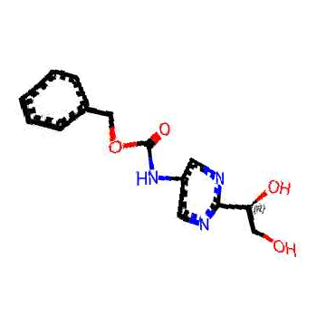 O=C(Nc1cnc([C@@H](O)CO)nc1)OCc1ccccc1